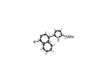 CSc1ccc(-c2ccc(F)c3ccccc23)s1